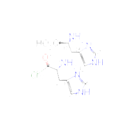 N[C@@H](Cc1c[nH]cn1)C(=O)Cl.N[C@@H](Cc1c[nH]cn1)C(=O)O